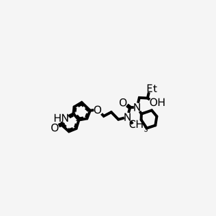 CCC(O)CN(C(=O)N(C)CCCOc1ccc2[nH]c(=O)ccc2c1)C1CCCCC1